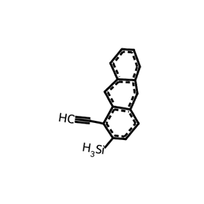 C#Cc1c([SiH3])ccc2cc3ccccc3cc12